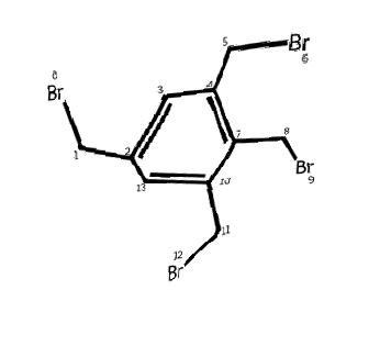 BrCc1cc(CBr)c(CBr)c(CBr)c1